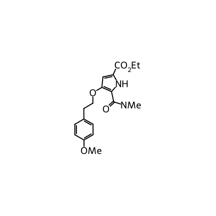 CCOC(=O)c1cc(OCCc2ccc(OC)cc2)c(C(=O)NC)[nH]1